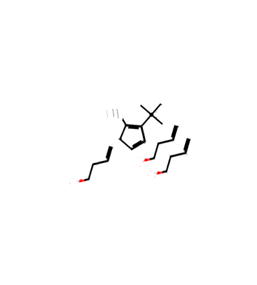 C=CCC[O-].C=CCC[O-].C=CCC[O-].CC(C)(C)C1=[C]([Hf+3])CC=C1